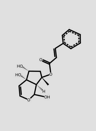 C[C@]1(OC(=O)/C=C/c2ccccc2)C[C@@H](O)[C@]2(O)C=COC(O)[C@@H]21